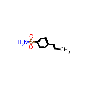 CC=Cc1ccc(S(N)(=O)=O)cc1